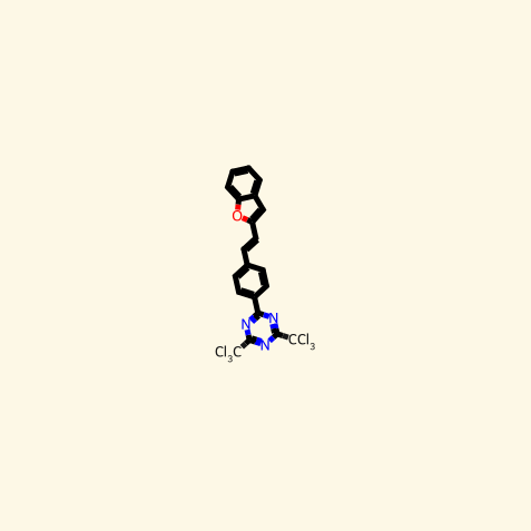 ClC(Cl)(Cl)c1nc(-c2ccc(C=Cc3cc4ccccc4o3)cc2)nc(C(Cl)(Cl)Cl)n1